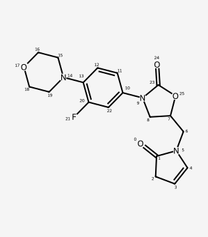 O=C1CC=CN1CC1CN(c2ccc(N3CCOCC3)c(F)c2)C(=O)O1